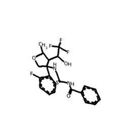 CC1OCC(NC(=S)NC(=O)c2ccccc2)(c2ccccc2F)C1C(O)C(F)(F)F